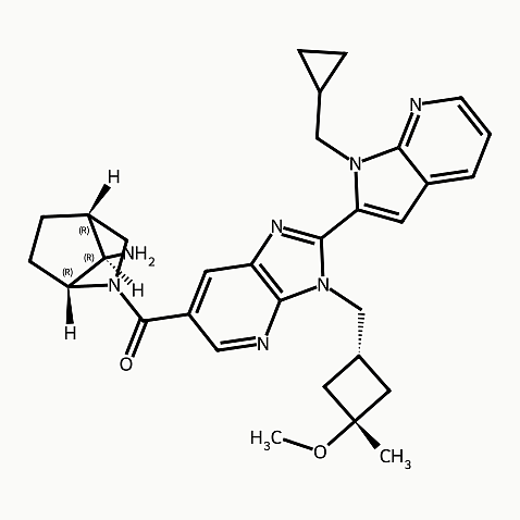 CO[C@]1(C)C[C@H](Cn2c(-c3cc4cccnc4n3CC3CC3)nc3cc(C(=O)N4C[C@H]5CC[C@@H]4[C@@H]5N)cnc32)C1